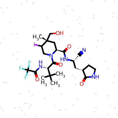 CC(C)(C)[C@H](NC(=O)C(F)(F)F)C(=O)N1CC(I)[C@](C)(CO)C[C@H]1C(=O)N[C@H](C#N)C[C@@H]1CCNC1=O